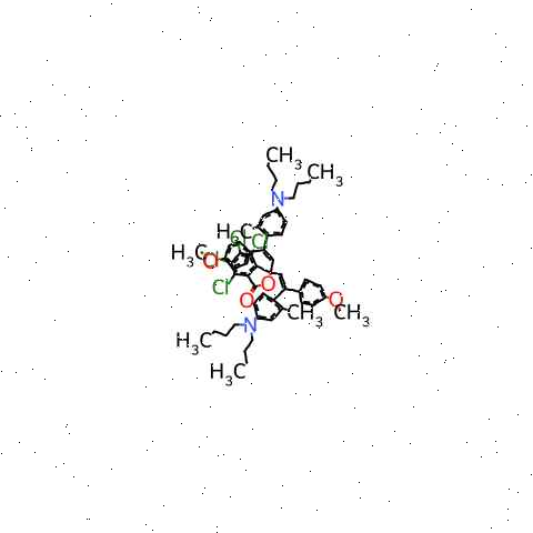 CCCCN(CCCC)c1ccc(C(=CC2(C=C(c3ccc(OC)cc3)c3ccc(N(CCCC)CCCC)cc3C)OC(=O)c3c(Cl)c(Cl)c(Cl)c(Cl)c32)c2ccc(OC)cc2)c(C)c1